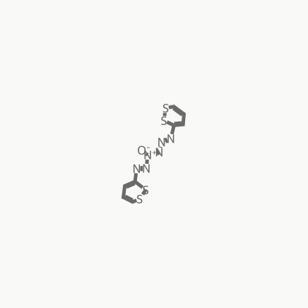 [O-][N+](N=NC1=CC=CSS1)=NN=NC1=CC=CSS1